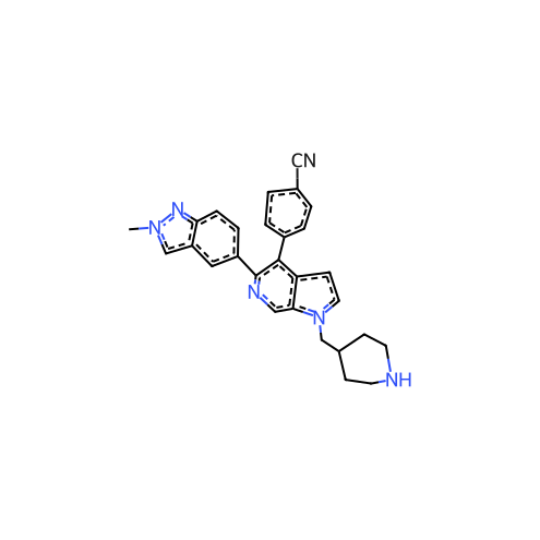 Cn1cc2cc(-c3ncc4c(ccn4CC4CCNCC4)c3-c3ccc(C#N)cc3)ccc2n1